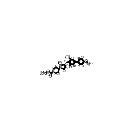 CC(C)Oc1ccc(-c2cc(Cl)c(C[C@@H]3CCN(C4CCN(C(=O)OC(C)(C)C)CC4)C3=O)c(Cl)c2)cc1